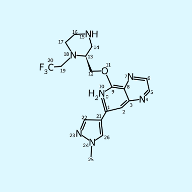 C=C(/C=c1/nccn/c1=C(/N)OC[C@@H]1CNCCN1CC(F)(F)F)c1cnn(C)c1